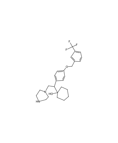 OC1(C(CN2CCNCC2)c2ccc(OCc3cccc(C(F)(F)F)c3)cc2)CCCCC1